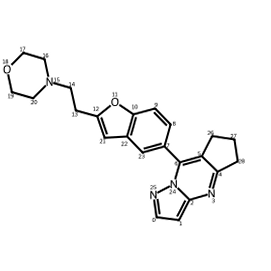 c1cc2nc3c(c(-c4ccc5oc(CCN6CCOCC6)cc5c4)n2n1)CCC3